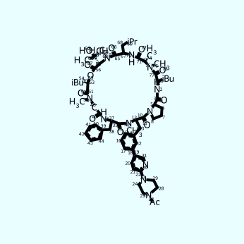 CCC(C)C1NC(=O)C2CCCN2C(=O)C(Cc2cccc(-c3ccc(N4CCN(C(C)=O)CC4)nc3)c2)N(C)C(=O)C(Cc2ccccc2)NC(=O)CN(C)C(=O)C([C@H](C)CC)OC(=O)[C@H](C(C)(C)O)N(C)C(=O)C(CC(C)C)NC(=O)[C@H](C)N(C)C1=O